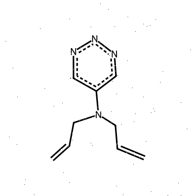 C=CCN(CC=C)c1[c]nnnc1